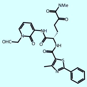 CNC(=O)C(=O)CC[C@H](NC(=O)c1sc(-c2ccccc2)nc1C)C(=O)Nc1cccn(CC=O)c1=O